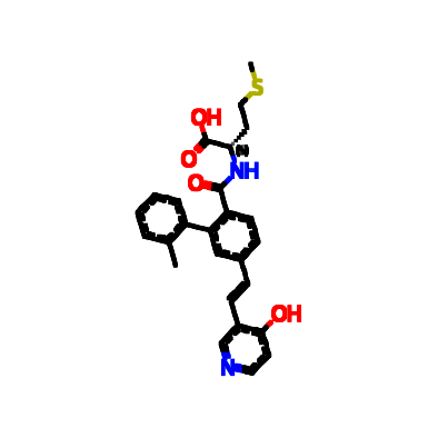 CSCC[C@H](NC(=O)c1ccc(C=Cc2cnccc2O)cc1-c1ccccc1C)C(=O)O